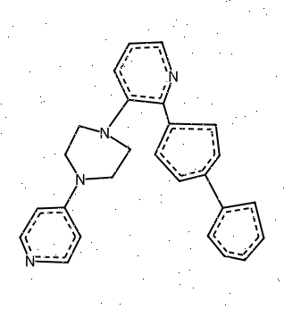 c1ccc(-c2ccc(-c3ncccc3N3CCN(c4ccncc4)CC3)cc2)cc1